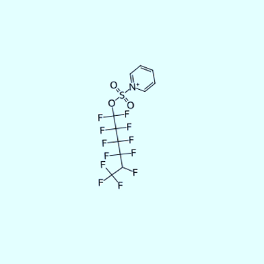 O=S(=O)(OC(F)(F)C(F)(F)C(F)(F)C(F)(F)C(F)C(F)(F)F)[n+]1ccccc1